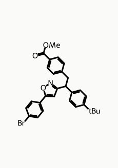 COC(=O)c1ccc(CC(c2ccc(C(C)(C)C)cc2)c2cc(-c3ccc(Br)cc3)on2)cc1